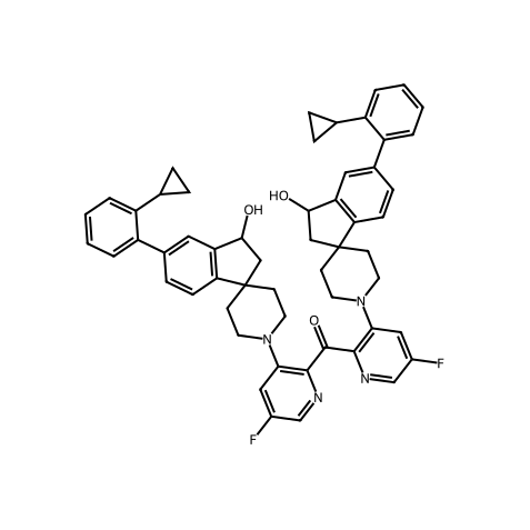 O=C(c1ncc(F)cc1N1CCC2(CC1)CC(O)c1cc(-c3ccccc3C3CC3)ccc12)c1ncc(F)cc1N1CCC2(CC1)CC(O)c1cc(-c3ccccc3C3CC3)ccc12